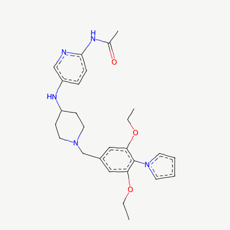 CCOc1cc(CN2CCC(Nc3ccc(NC(C)=O)nc3)CC2)cc(OCC)c1-n1cccc1